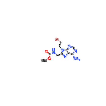 CC(C)(C)OC(=O)NCc1nc2c(N)ncnc2n1CCBr